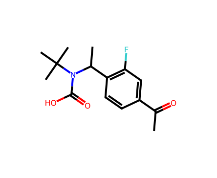 CC(=O)c1ccc(C(C)N(C(=O)O)C(C)(C)C)c(F)c1